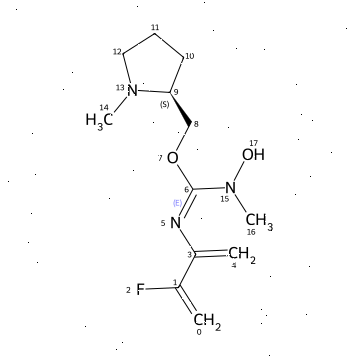 C=C(F)C(=C)/N=C(/OC[C@@H]1CCCN1C)N(C)O